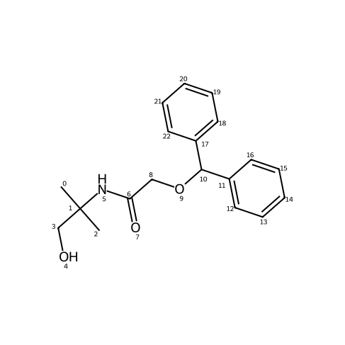 CC(C)(CO)NC(=O)COC(c1ccccc1)c1ccccc1